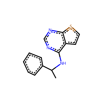 CC(Nc1ncnc2sccc12)c1ccccc1